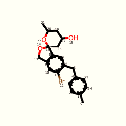 Cc1ccc(Cc2cc3c(cc2Br)CO[C@@]32CC(O)CC(C)O2)cc1